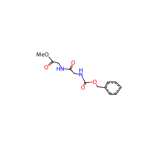 COC(=O)CNC(=O)CNC(=O)OCc1ccccc1